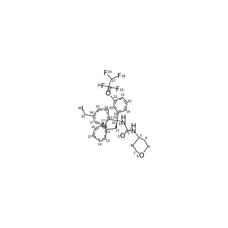 O=C(NC1CCOCC1)N[C@@](Cc1ccccc1)(c1cccc(OC(F)(F)C(F)F)c1)c1ccc(CI)cn1